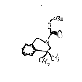 CC(C)(C)OC(=O)N1Cc2c[c]ccc2C(C)(C)C1